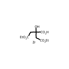 CCOC(=O)CC(O)(CC(=O)OCC)C(=O)O.[Zr]